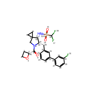 O=C([C@H]1CCO1)N1CC2(CC2)[C@H](NS(=O)(=O)C(F)F)[C@@H]1Cc1cccc(-c2cccc(F)c2)c1